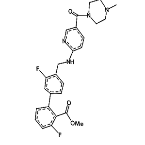 COC(=O)c1c(F)cccc1-c1ccc(CNc2ccc(C(=O)N3CCN(C)CC3)cn2)c(F)c1